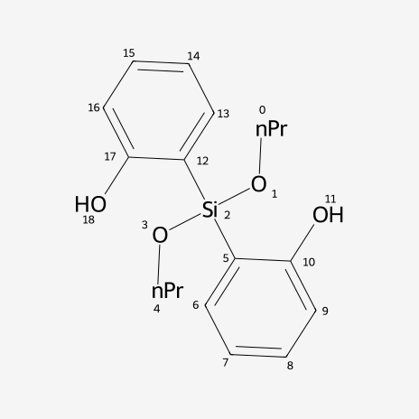 CCCO[Si](OCCC)(c1ccccc1O)c1ccccc1O